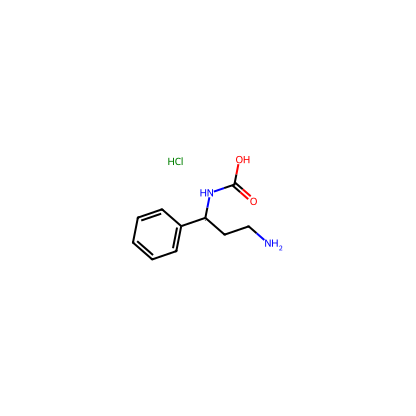 Cl.NCC[C](NC(=O)O)c1ccccc1